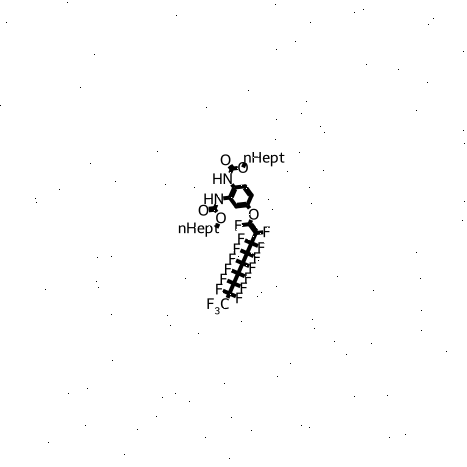 CCCCCCCOC(=O)Nc1ccc(OC(F)=C(F)C(F)(F)C(F)(F)C(F)(F)C(F)(F)C(F)(F)C(F)(F)C(F)(F)F)cc1NC(=O)OCCCCCCC